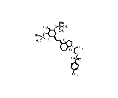 C=C1[C@@H](O[Si](C)(C)C(C)(C)C)C/C(=C\C=C2/CCC[C@]3(C)[C@@H](C(C)COS(=O)(=O)c4ccc(C)cc4)CC[C@@H]23)C[C@H]1O[Si](C)(C)C(C)(C)C